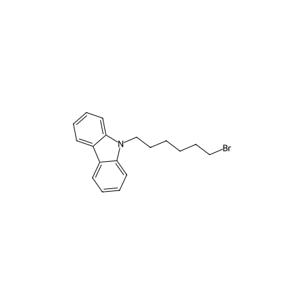 BrCCCCCCn1c2ccccc2c2ccccc21